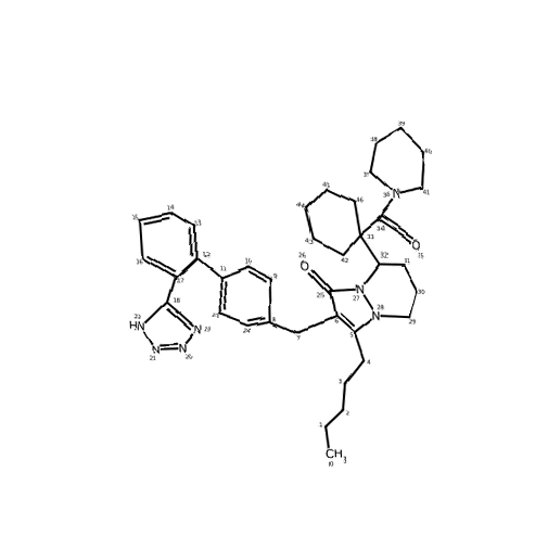 CCCCCc1c(Cc2ccc(-c3ccccc3-c3nnn[nH]3)cc2)c(=O)n2n1CCCC2C1(C(=O)N2CCCCC2)CCCCC1